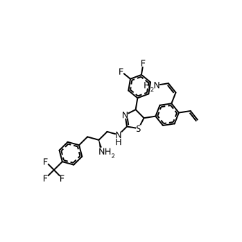 C=Cc1ccc(C2SC(NC[C@@H](N)Cc3ccc(C(F)(F)F)cc3)=NC2c2ccc(F)c(F)c2)cc1/C=C\N